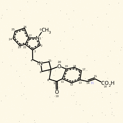 Cn1cc(CN2CC3(CC(=O)c4cc(/C=C/C(=O)O)ccc4O3)C2)c2ccccc21